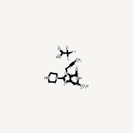 CC#CCn1c(N2CCNCC2)nc2cc(C(=O)O)[nH]c(=O)c21.O=C(O)C(F)(F)F